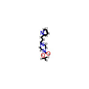 CC(C)(C)OC(=O)N1CCN(CCCc2ccccn2)CC1